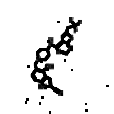 N#Cc1cc2c(O)c(CN3CCC(Nc4ncnc5sc(CC(F)(F)F)cc45)CC3)ccc2[nH]1